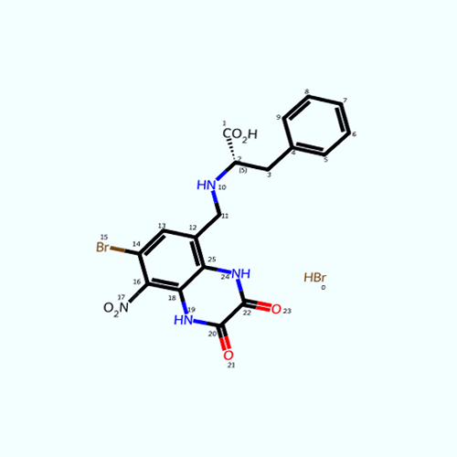 Br.O=C(O)[C@H](Cc1ccccc1)NCc1cc(Br)c([N+](=O)[O-])c2[nH]c(=O)c(=O)[nH]c12